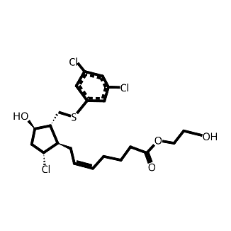 O=C(CCC/C=C\C[C@@H]1[C@@H](CSc2cc(Cl)cc(Cl)c2)[C@H](O)C[C@H]1Cl)OCCO